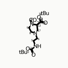 CC(C)(C)OC(=O)NCCN1CCN(C(=O)O)C(C(=O)OC(C)(C)C)C1